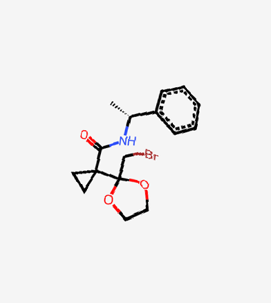 C[C@@H](NC(=O)C1(C2(CBr)OCCO2)CC1)c1ccccc1